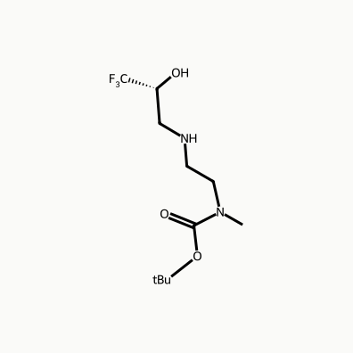 CN(CCNC[C@@H](O)C(F)(F)F)C(=O)OC(C)(C)C